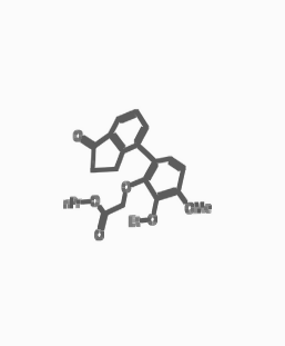 CCCOC(=O)COc1c(-c2cccc3c2CCC3=O)ccc(OC)c1OCC